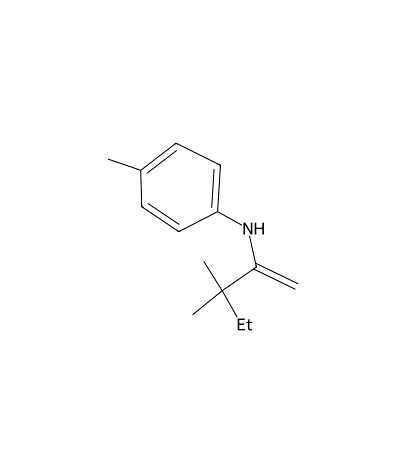 C=C(Nc1ccc(C)cc1)C(C)(C)CC